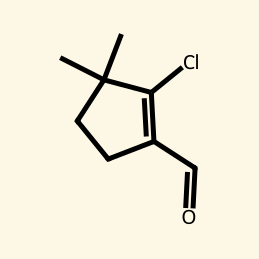 CC1(C)CCC(C=O)=C1Cl